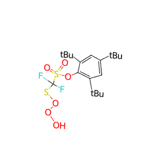 CC(C)(C)c1cc(C(C)(C)C)c(OS(=O)(=O)C(F)(F)SOOO)c(C(C)(C)C)c1